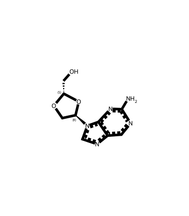 Nc1ncc2ncn([C@H]3CO[C@H](CO)O3)c2n1